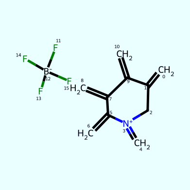 C=C1C[N+](=C)C(=C)C(=C)C1=C.F[B-](F)(F)F